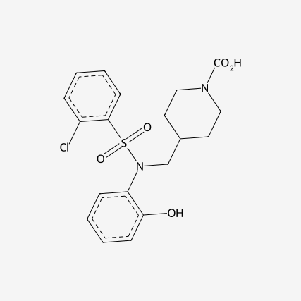 O=C(O)N1CCC(CN(c2ccccc2O)S(=O)(=O)c2ccccc2Cl)CC1